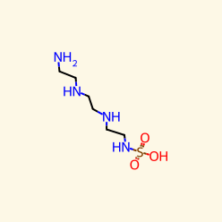 NCCNCCNCCNS(=O)(=O)O